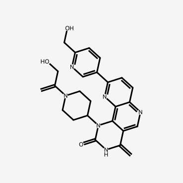 C=C1NC(=O)N(C2CCN(C(=C)CO)CC2)c2c1cnc1ccc(-c3ccc(CO)nc3)nc21